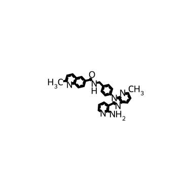 Cc1ccc2cc(C(=O)NCc3ccc(-n4c(-c5cccnc5N)nc5ccc(C)nc54)cc3)ccc2n1